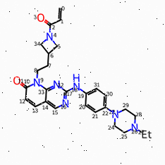 C=CC(=O)N1CC(CCn2c(=O)ccc3cnc(Nc4ccc(N5CCN(CC)CC5)cc4)nc32)C1